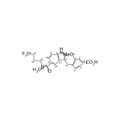 COc1cc(C(=O)O)ccc1Cc1c[nH]c2ccc(C(=O)N(C)CCCC(F)(F)F)cc12